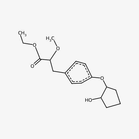 CCOC(=O)C(Cc1ccc(OC2CCCC2O)cc1)OC